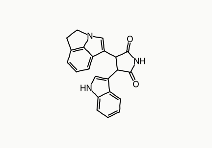 O=C1NC(=O)C(c2cn3c4c(cccc24)CC3)C1c1c[nH]c2ccccc12